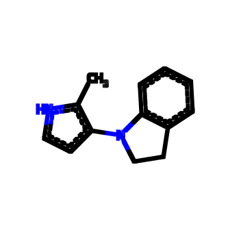 Cc1[nH]ccc1N1CCc2ccccc21